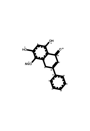 COc1c(O)cc(O)c2c1CC(c1ccccc1)=CC2=O